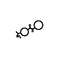 CC(N)C1CCCCC(C(=O)NC2CCCCCCCCC2)CCC1